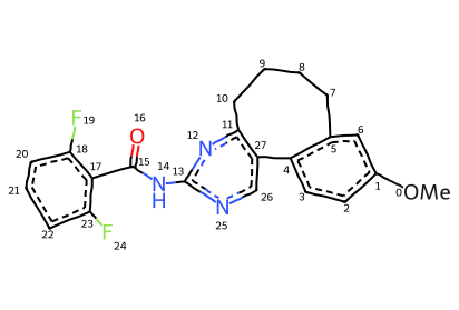 COc1ccc2c(c1)CCCCc1nc(NC(=O)c3c(F)cccc3F)ncc1-2